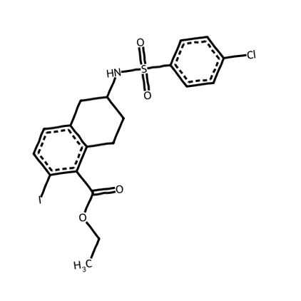 CCOC(=O)c1c(I)ccc2c1CCC(NS(=O)(=O)c1ccc(Cl)cc1)C2